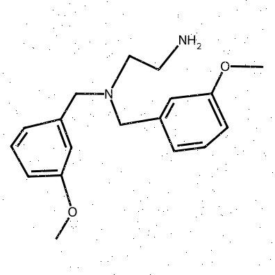 COc1cccc(CN(CCN)Cc2cccc(OC)c2)c1